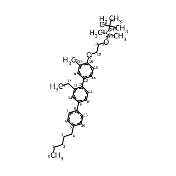 CCCCCc1ccc(-c2ccc(-c3ccc(OCCO[Si](C)(C)C(C)(C)C)c(C)c3)c(CC)c2)cc1